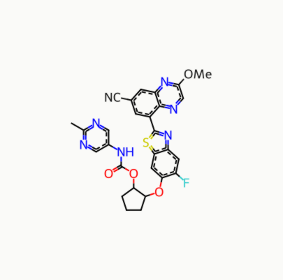 COc1cnc2c(-c3nc4cc(F)c(OC5CCCC5OC(=O)Nc5cnc(C)nc5)cc4s3)cc(C#N)cc2n1